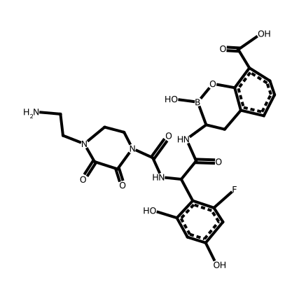 NCCN1CCN(C(=O)NC(C(=O)NC2Cc3cccc(C(=O)O)c3OB2O)c2c(O)cc(O)cc2F)C(=O)C1=O